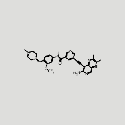 Cc1nc2cnc(N)c(C#Cc3cncc(C(=O)Nc4ccc(CN5CCN(C)CC5)c(OC(F)(F)F)c4)c3)c2nc1C